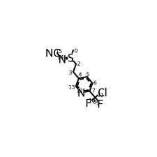 CS(CCc1ccc(C(F)(F)Cl)nc1)=NC#N